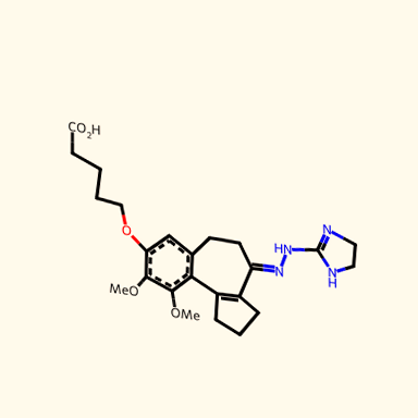 COc1c(OCCCCC(=O)O)cc2c(c1OC)C1=C(CCC1)C(=NNC1=NCCN1)CC2